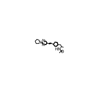 CC(=O)NC(C)Cc1ccc(C#Cc2cnc(N3CCCCC3)nc2)cc1